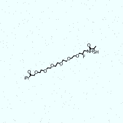 CC(C)C(=O)COCCOCCOCCOCCOCCOCC(F)CNC(=O)C(C)S